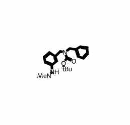 CNNc1cccc(CN(Cc2ccccc2)C(=O)OC(C)(C)C)c1